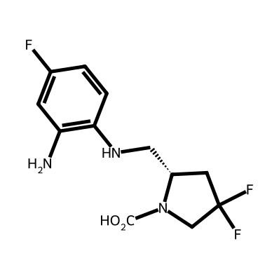 Nc1cc(F)ccc1NC[C@@H]1CC(F)(F)CN1C(=O)O